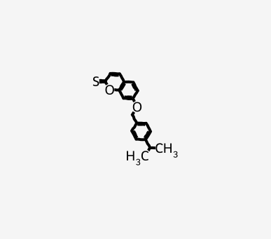 CC(C)c1ccc(COc2ccc3ccc(=S)oc3c2)cc1